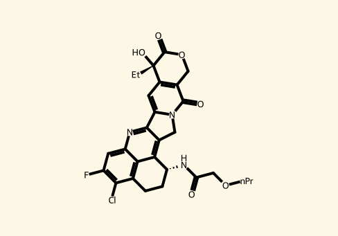 CCCOCC(=O)N[C@@H]1CCc2c(Cl)c(F)cc3nc4c(c1c23)Cn1c-4cc2c(c1=O)COC(=O)[C@]2(O)CC